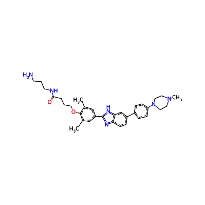 Cc1cc(-c2nc3ccc(-c4ccc(N5CCN(C)CC5)cc4)cc3[nH]2)cc(C)c1OCCCC(=O)NCCCN